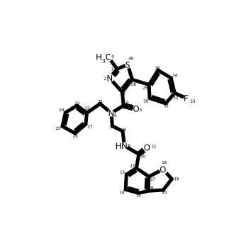 Cc1nc(C(=O)N(CCNC(=O)c2cccc3c2OCC3)Cc2ccccc2)c(-c2ccc(F)cc2)s1